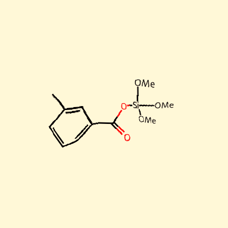 CO[Si](OC)(OC)OC(=O)c1cccc(C)c1